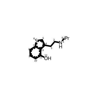 CC(C)NCCc1csc2cccc(O)c12